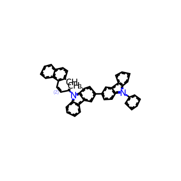 C=C(/C=C\c1c(C)ccc2ccccc12)n1c2ccccc2c2cc(-c3ccc4c(c3)c3ccccc3n4-c3ccccc3)ccc21